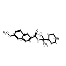 COc1ccc2cc(C(=O)OC(C)(C)C3CCNCC3)ccc2c1